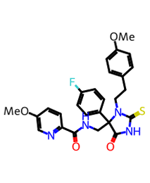 COc1ccc(CCN2C(=S)NC(=O)C2(CNC(=O)c2ccc(OC)cn2)c2ccc(F)cc2)cc1